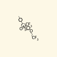 Cc1ccc(C2=CC(=O)N(C3CC3)C(c3ccc(OCCCC(F)(F)F)cc3)(C(F)(F)F)C2)cc1